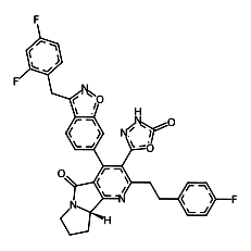 O=C1c2c(nc(CCc3ccc(F)cc3)c(-c3n[nH]c(=O)o3)c2-c2ccc3c(Cc4ccc(F)cc4F)noc3c2)[C@@H]2CCCN12